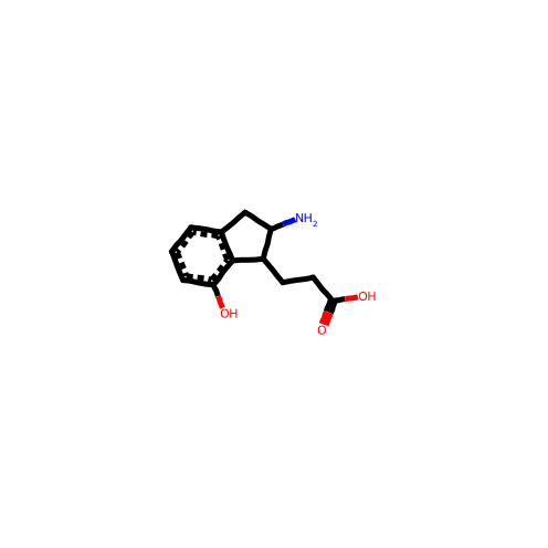 NC1Cc2cccc(O)c2C1CCC(=O)O